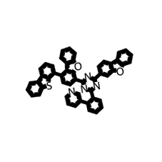 c1cncc(-c2ccccc2-c2nc(-c3ccc4c(c3)oc3ccccc34)nc(-c3ccc(-c4cccc5c4sc4ccccc45)c4c3oc3ccccc34)n2)c1